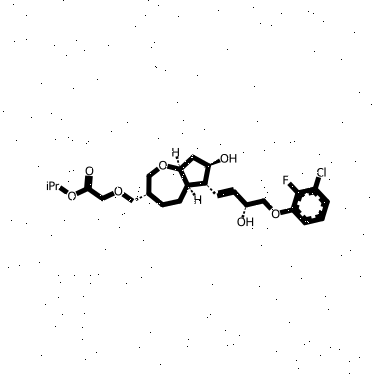 CC(C)OC(=O)COC[C@H]1CC[C@@H]2[C@@H](/C=C/[C@@H](O)COc3cccc(Cl)c3F)[C@H](O)C[C@@H]2OC1